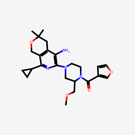 COCC1CN(c2nc(C3CC3)c3c(c2N)CC(C)(C)OC3)CCN1C(=O)c1ccoc1